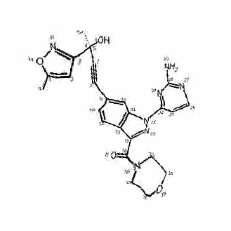 Cc1cc([C@@](C)(O)C#Cc2ccc3c(C(=O)N4CCOCC4)nn(-c4ccnc(N)n4)c3c2)no1